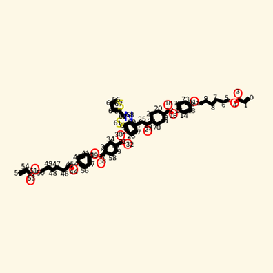 C=CC(=O)OCCCCCCOc1ccc(OC(=O)C2CCC(C(=O)Cc3ccc(OC(=O)C4CCC(C(=O)Oc5ccc(OCCCCCCOC(=O)C=C)cc5)CC4)c4sc(-c5cccs5)nc34)CC2)cc1